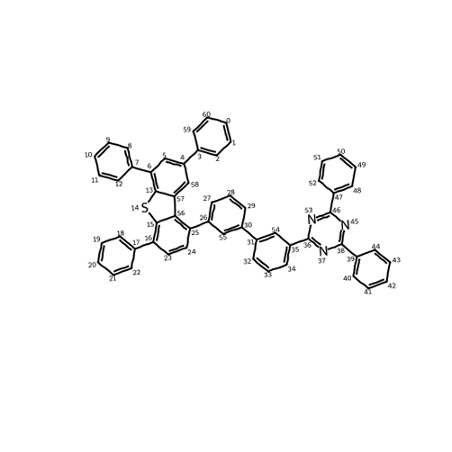 c1ccc(-c2cc(-c3ccccc3)c3sc4c(-c5ccccc5)ccc(-c5cccc(-c6cccc(-c7nc(-c8ccccc8)nc(-c8ccccc8)n7)c6)c5)c4c3c2)cc1